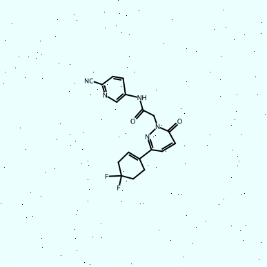 N#Cc1ccc(NC(=O)Cn2nc(C3=CCC(F)(F)CC3)ccc2=O)cn1